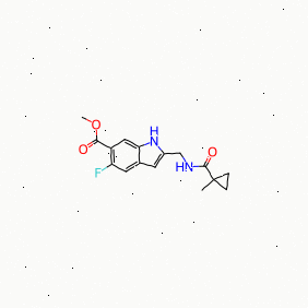 COC(=O)c1cc2[nH]c(CNC(=O)C3(C)CC3)cc2cc1F